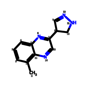 Cc1cccc2nc(C3C=NNC3)cnc12